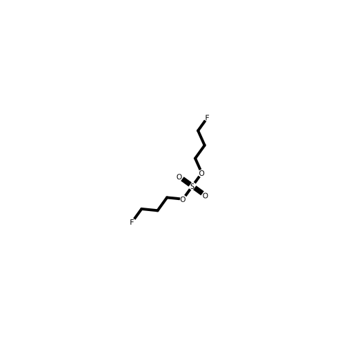 O=S(=O)(OCCCF)OCCCF